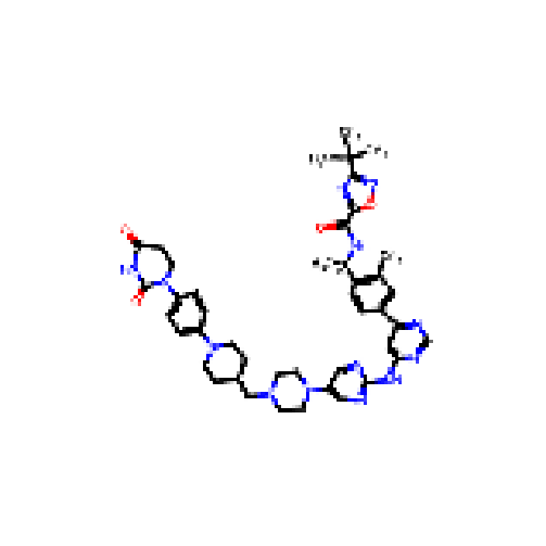 Cc1cc(-c2cc(Nc3ncc(N4CCN(CC5CCN(c6ccc(N7CCC(=O)NC7=O)cc6)CC5)CC4)cn3)ncn2)ccc1[C@@H](C)NC(=O)c1nc(C(C)(C)C)no1